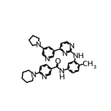 Cc1ccc(NC(=O)c2ccc(N3CCCCC3)nc2)cc1Nc1nccc(-c2cncc(N3CCCC3)c2)n1